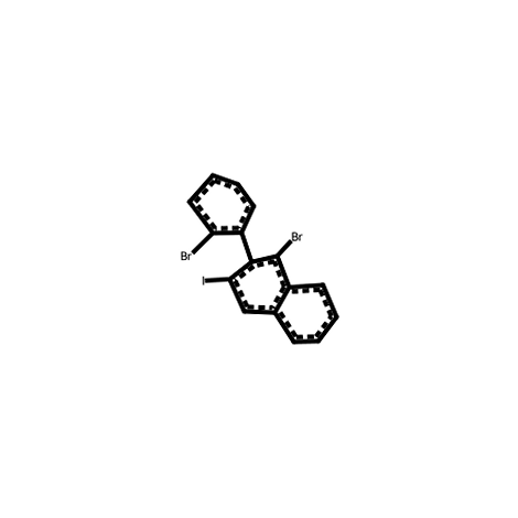 Brc1ccccc1-c1c(I)cc2ccccc2c1Br